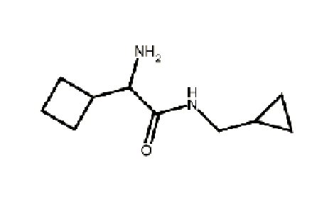 NC(C(=O)NCC1CC1)C1CCC1